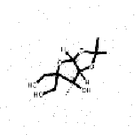 CC1(C)O[C@H]2OC(CO)(CO)[C@](C)(O)[C@H]2O1